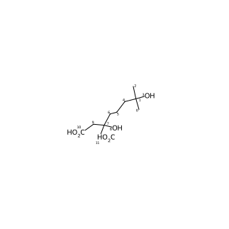 CC(C)(O)CCCC(O)(CC(=O)O)C(=O)O